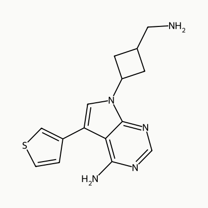 NCC1CC(n2cc(-c3ccsc3)c3c(N)ncnc32)C1